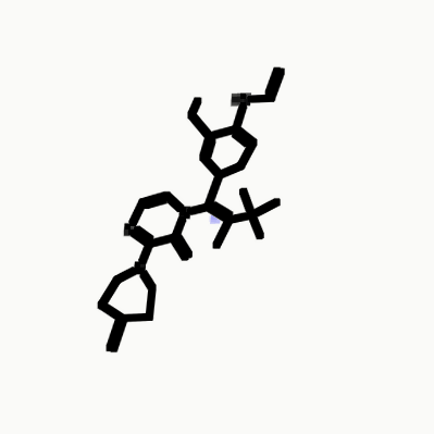 C=CNC1=CCC(/C(=C(/C)C(C)(C)C)N2C=CN=C(N3CCC(=C)CC3)C2=C)C=C1CC